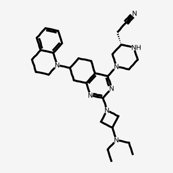 CCN(CC)C1CN(c2nc3c(c(N4CCN[C@@H](CC#N)C4)n2)CCC(N2CCCc4ccccc42)C3)C1